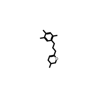 Cc1cc(C)c(CCCC2=CCC(C)CO2)cc1C